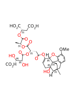 COc1ccc2c3c1O[C@H]1C(OC(=O)C[C@H](OC(=O)[C@H](O)[C@@H](O)C(=O)O)C(=O)O[C@@H](C)C(=O)O[C@@H](CC(=O)O)C(=O)O)=CC[C@@]4(O)[C@@H](C2)C(C)CC[C@]314